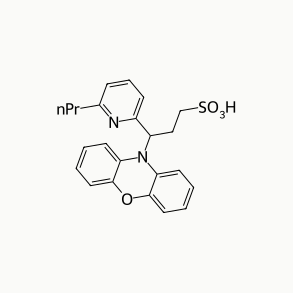 CCCc1cccc(C(CCS(=O)(=O)O)N2c3ccccc3Oc3ccccc32)n1